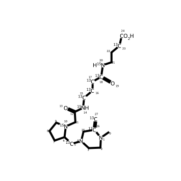 CN1CCN([13CH2]C2CCC[15N]2CC(=O)[15NH][13CH2][13CH2][13CH2][13C](=O)[15NH]CC[13CH2][13C](=O)O)C[13C]1=[13CH2]